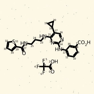 O=C(O)C(F)(F)F.O=C(O)c1cccc(Nc2ncc(C3CC3)c(NCCCNC(=O)c3cccs3)n2)c1